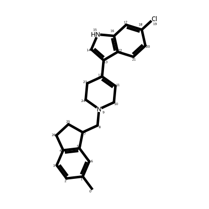 Cc1ccc2c(c1)C(CN1CC=C(c3c[nH]c4cc(Cl)ccc34)CC1)CC2